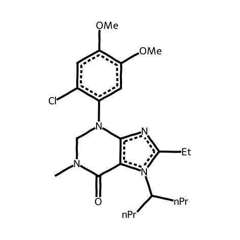 CCCC(CCC)n1c(CC)nc2c1C(=O)N(C)CN2c1cc(OC)c(OC)cc1Cl